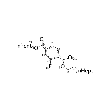 CCCCCCCC1COC(c2ccc(C(=O)OCCCCC)cc2F)OC1